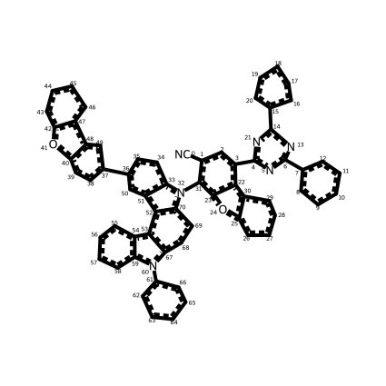 N#Cc1cc(-c2nc(-c3ccccc3)nc(-c3ccccc3)n2)c2c(oc3ccccc32)c1-n1c2ccc(-c3ccc4oc5ccccc5c4c3)cc2c2c3c4ccccc4n(-c4ccccc4)c3ccc21